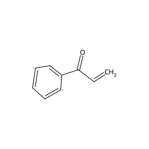 C=CC(=O)c1[c]cc[c]c1